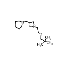 CC(C)(C)COCCN1CC(CN2CCCCC2)C1